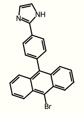 Brc1c2ccccc2c(-c2ccc(-c3ncc[nH]3)cc2)c2ccccc12